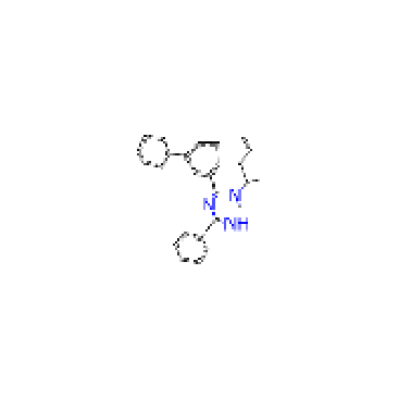 C=CCC(C)N(C)/C(=N\C(=N)c1ccccc1)c1cccc(-c2ccccc2)c1